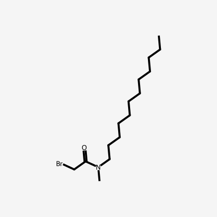 CCCCCCCCCCCCN(C)C(=O)CBr